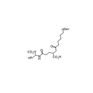 CCCCCCCCCCCCCCCC(=O)CC(CCC(=O)NC(CCC)C(=O)O)C(=O)O